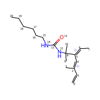 C=C/C(C)=C/C(=C\C)C(C)(C)NC(=O)NCCCCCC